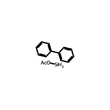 CC(=O)O[SiH3].c1ccc(-c2ccccc2)cc1